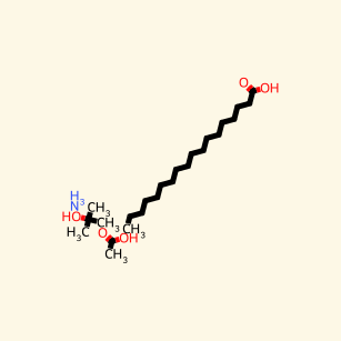 CC(=O)O.CC(C)(C)O.CCCCCCCCCCCCCCCCCC(=O)O.N